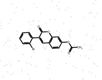 CC(=O)Oc1ccc2cc(-c3ccccc3Br)c(=O)oc2c1